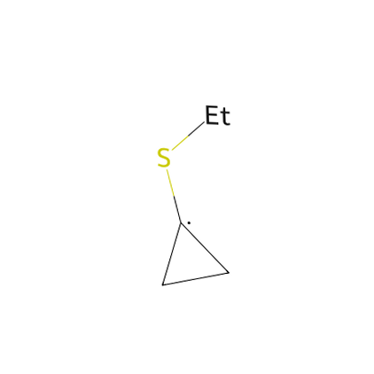 CCS[C]1CC1